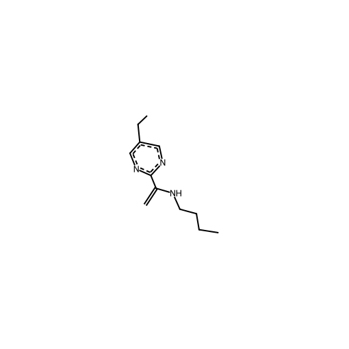 C=C(NCCCC)c1ncc(CC)cn1